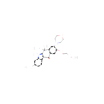 COCCOc1cc2c(cc1N1CCOCC1)C(C)(C)c1[nH]c3cc(C)ccc3c1C2=O